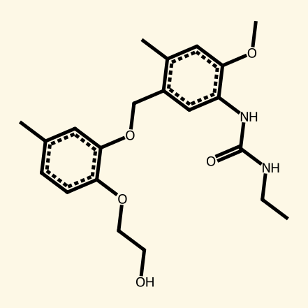 CCNC(=O)Nc1cc(COc2cc(C)ccc2OCCO)c(C)cc1OC